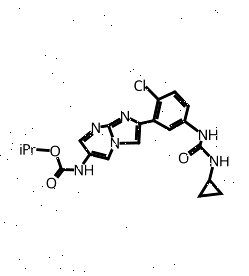 CC(C)OC(=O)Nc1cnc2nc(-c3cc(NC(=O)NC4CC4)ccc3Cl)cn2c1